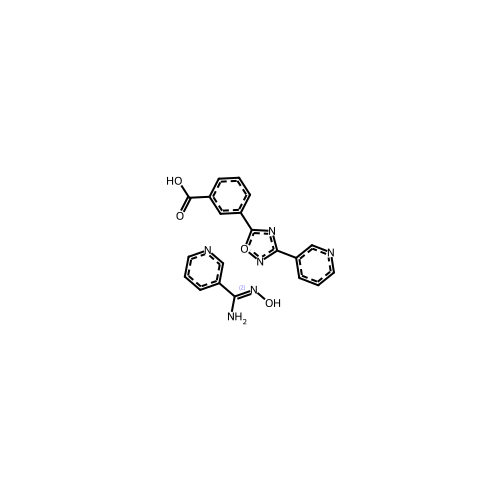 N/C(=N\O)c1cccnc1.O=C(O)c1cccc(-c2nc(-c3cccnc3)no2)c1